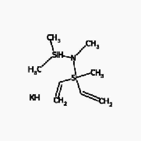 C=C[Si](C)(C=C)N(C)[SiH](C)C.[KH]